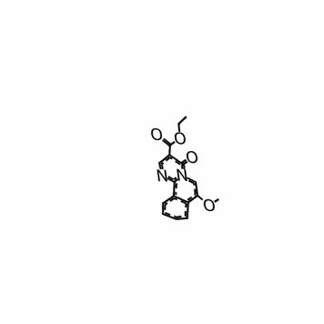 CCOC(=O)c1cnc2c3ccccc3c(OC)cn2c1=O